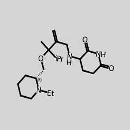 C=C(CNC1CCC(=O)NC1=O)C(C)(OC[C@H]1CCCCN1CC)C(C)C